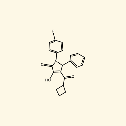 O=C(C1=C(O)C(=O)N(c2ccc(F)cc2)C1c1ccccc1)C1CCC1